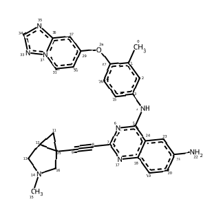 Cc1cc(Nc2nc(C#CC34CC3CN(C)C4)nc3ccc(N)cc23)ccc1Oc1ccn2ncnc2c1